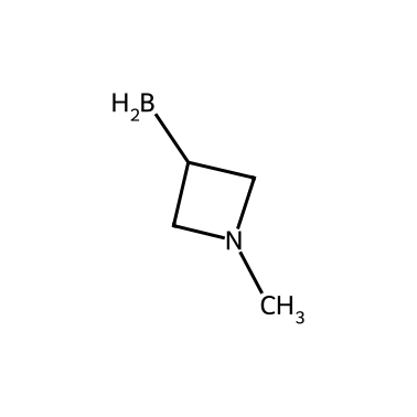 BC1CN(C)C1